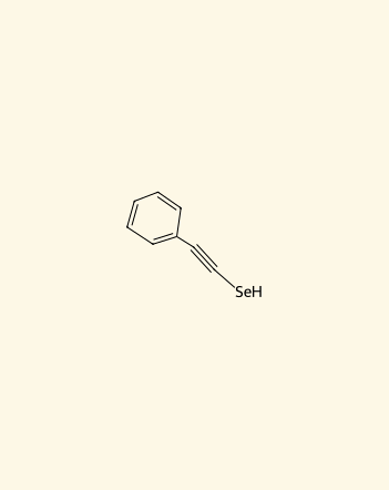 [SeH]C#Cc1ccccc1